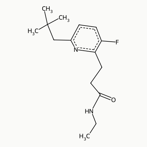 CCNC(=O)CCc1nc(CC(C)(C)C)ccc1F